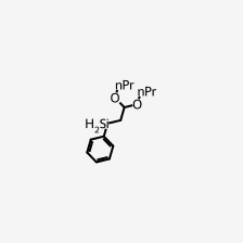 CCCOC(C[SiH2]c1ccccc1)OCCC